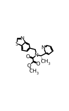 COC(=O)C(=O)N(Cc1ccc2scnc2c1)[C@@H](C)c1ccccn1